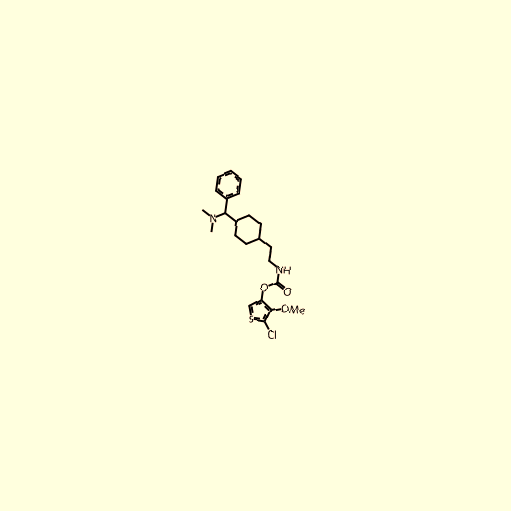 COc1c(OC(=O)NCCC2CCC(C(c3ccccc3)N(C)C)CC2)csc1Cl